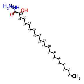 CCCCCCCCCCCCCCCCCCCCCCC(O)C(=O)NN